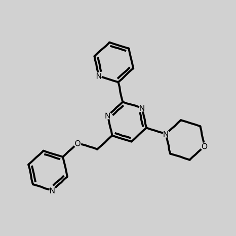 c1ccc(-c2nc(COc3cccnc3)cc(N3CCOCC3)n2)nc1